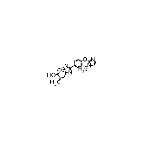 C=C(Cc1nc(-c2ccc(Oc3nccn3C)cc2)no1)C(=O)O